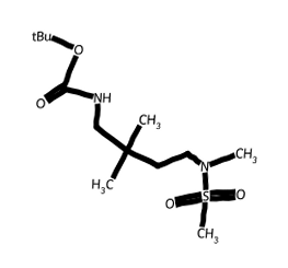 CN(CCC(C)(C)CNC(=O)OC(C)(C)C)S(C)(=O)=O